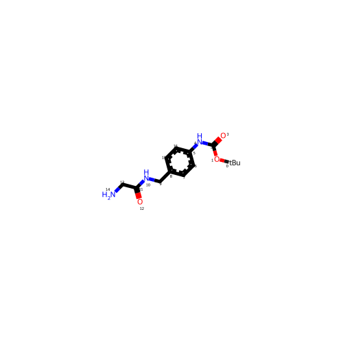 CC(C)(C)OC(=O)Nc1ccc(CNC(=O)CN)cc1